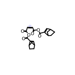 O=C(/C=C\C(=O)OC(=O)C1=CC2CCC1C2)OC(=O)C1=CC2CCC1C2